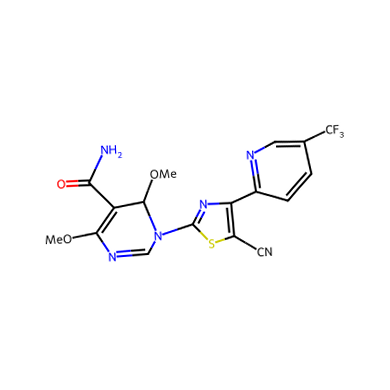 COC1=C(C(N)=O)C(OC)N(c2nc(-c3ccc(C(F)(F)F)cn3)c(C#N)s2)C=N1